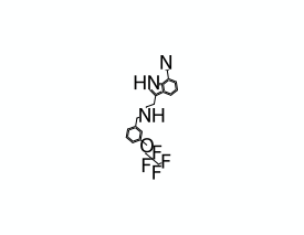 N#Cc1cccc2c(CCNCc3cccc(OCC(F)(F)C(F)F)c3)c[nH]c12